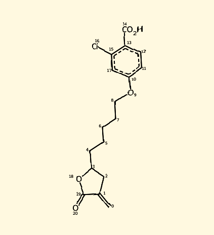 C=C1CC(CCCCCOc2ccc(C(=O)O)c(Cl)c2)OC1=O